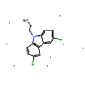 O=CCCn1c2ccc(Br)cc2c2cc(Br)ccc21